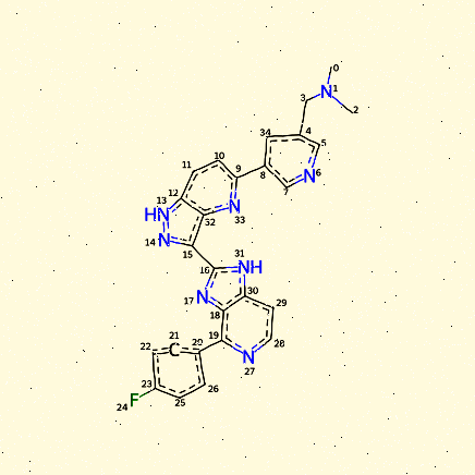 CN(C)Cc1cncc(-c2ccc3[nH]nc(-c4nc5c(-c6ccc(F)cc6)nccc5[nH]4)c3n2)c1